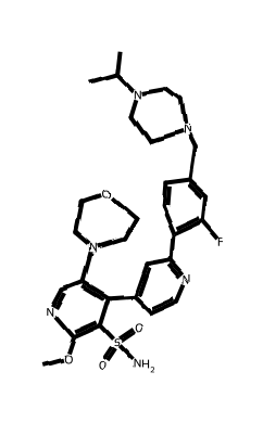 COc1ncc(N2CCOCC2)c(-c2ccnc(-c3ccc(CN4CCN(C(C)C)CC4)cc3F)c2)c1S(N)(=O)=O